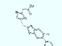 O=C(O)Cc1nnc(Cc2nc3cc(F)c(-c4ccccc4)cc3s2)o1